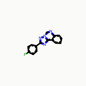 Fc1ccc(-c2nc3c4ccccc4ncn3n2)cc1